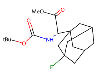 COC(=O)[C@@H](NC(=O)OC(C)(C)C)C12CC3CC(CC(F)(C3)C1)C2